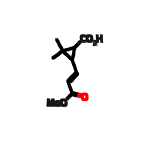 COC(=O)C=CC1C(C(=O)O)C1(C)C